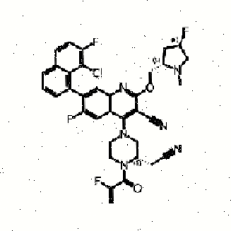 C=C(F)C(=O)N1CCN(C2=C(C#N)C(OC[C@@H]3C[C@@H](F)CN3C)=NC3C=C(c4cccc5ccc(F)c(Cl)c45)C(F)=CC23)C[C@@H]1CC#N